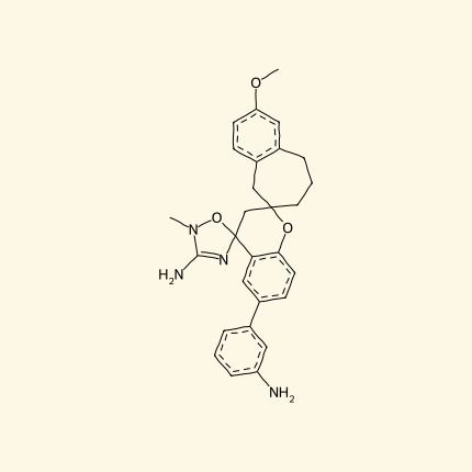 COc1ccc2c(c1)CCCC1(C2)CC2(N=C(N)N(C)O2)c2cc(-c3cccc(N)c3)ccc2O1